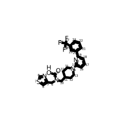 O=C(O)N(Cc1cscn1)CC1CCN(c2cccc(-c3cccc(C(F)(F)F)c3)n2)CC1